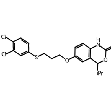 CC(C)C1OC(=O)Nc2ccc(OCCCSc3ccc(Cl)c(Cl)c3)cc21